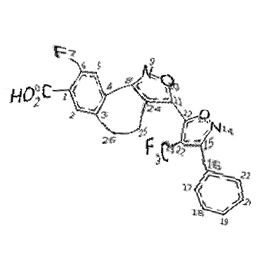 O=C(O)c1cc2c(cc1F)-c1noc(-c3onc(-c4ccccc4)c3C(F)(F)F)c1CC2